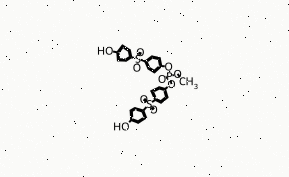 COP(=O)(Oc1ccc(S(=O)(=O)c2ccc(O)cc2)cc1)Oc1ccc(S(=O)(=O)c2ccc(O)cc2)cc1